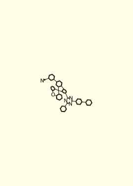 N#Cc1cccc(-c2ccc3c(c2)C2(c4ccccc4Oc4ccccc42)c2cc(-c4nc(-c5ccccc5)nc(-c5ccc(-c6ccccc6)cc5)n4)ccc2-3)c1